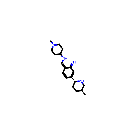 C[C@H]1CC[C@H](C2=CC(=N)/C(=C\NC3CCN(C)CC3)C=C2)NC1